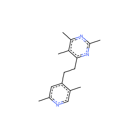 Cc1cc(CCc2nc(C)nc(C)c2C)c(C)cn1